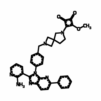 COc1c(N2CCC3(CN(Cc4ccc(-n5c(-c6cccnc6N)nc6ccc(-c7ccccc7)nc65)cc4)C3)C2)c(=O)c1=O